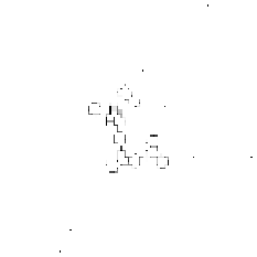 c1ccc(-c2nc(-c3ccc(-n4c5ccccc5c5ccc(-n6c7ccccc7c7ccccc76)cc54)cc3)nc(-c3cccc4ccccc34)n2)cc1